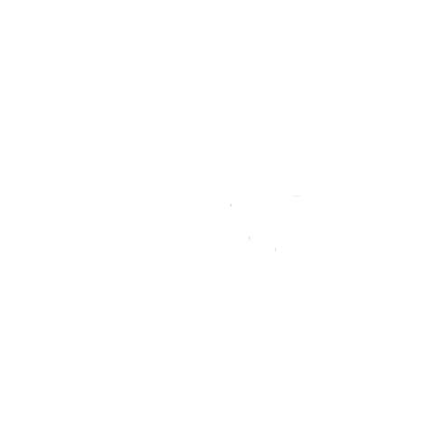 O=C(O)C1OC(c2ccc(C3CCCCC3)cc2)OC1C(=O)O